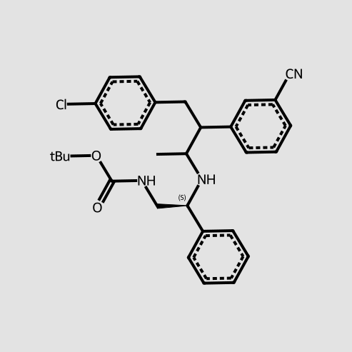 CC(N[C@H](CNC(=O)OC(C)(C)C)c1ccccc1)C(Cc1ccc(Cl)cc1)c1cccc(C#N)c1